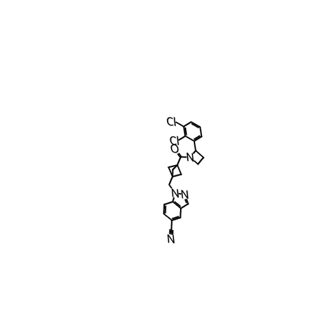 N#Cc1ccc2c(cnn2CC23CC(C(=O)N4CCC4c4cccc(Cl)c4Cl)(C2)C3)c1